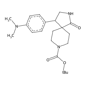 CN(C)c1ccc(C2CNC(=O)C23CCN(C(=O)OC(C)(C)C)CC3)cc1